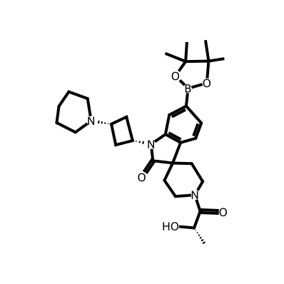 C[C@H](O)C(=O)N1CCC2(CC1)C(=O)N([C@H]1C[C@@H](N3CCCCC3)C1)c1cc(B3OC(C)(C)C(C)(C)O3)ccc12